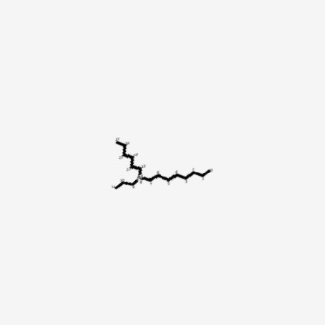 CCCCCCCCN(CCC)CCCCCC